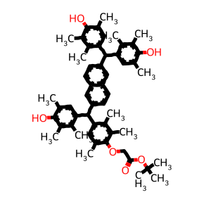 Cc1cc(C(c2ccc3cc(C(c4cc(C)c(O)c(C)c4C)c4cc(C)c(OCC(=O)OC(C)(C)C)c(C)c4C)ccc3c2)c2cc(C)c(O)c(C)c2C)c(C)c(C)c1O